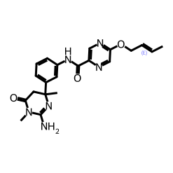 C/C=C/COc1cnc(C(=O)Nc2cccc(C3(C)CC(=O)N(C)C(N)=N3)c2)cn1